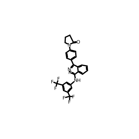 O=C1CCCN1c1ccc(-c2nnc(Nc3cc(C(F)(F)F)cc(C(F)(F)F)c3)c3ccccc23)cc1